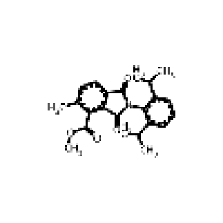 COC(=O)c1c(C)ccc2c1C(=O)N(c1c(C(C)C)cccc1C(C)C)C2=O